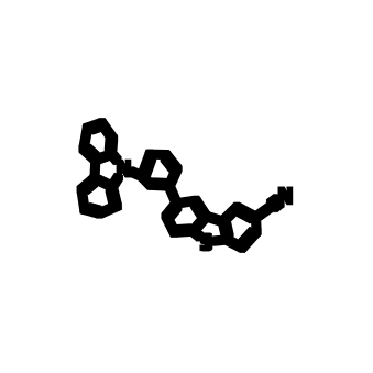 N#Cc1ccc2sc3ccc(-c4cccc(-n5c6ccccc6c6ccccc65)c4)cc3c2c1